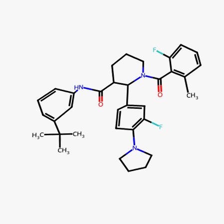 Cc1cccc(F)c1C(=O)N1CCCC(C(=O)Nc2cccc(C(C)(C)C)c2)C1c1ccc(N2CCCC2)c(F)c1